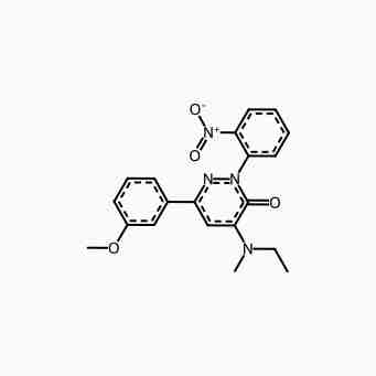 CCN(C)c1cc(-c2cccc(OC)c2)nn(-c2ccccc2[N+](=O)[O-])c1=O